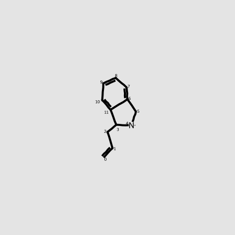 C=CCC1[N]Cc2ccccc21